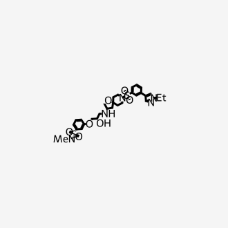 CCn1cc(-c2cccc(S(=O)(=O)N3CCC4(CC3)C[C@@H](NC[C@H](O)COc3cccc(S(=O)(=O)NC)c3)CO4)c2)cn1